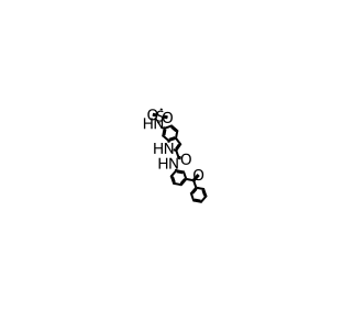 CS(=O)(=O)Nc1ccc2cc(C(=O)Nc3cccc(C(=O)c4ccccc4)c3)[nH]c2c1